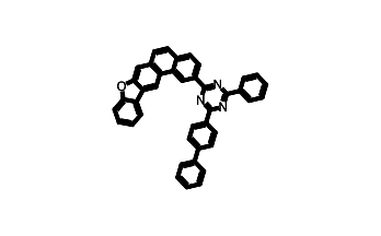 c1ccc(-c2ccc(-c3nc(-c4ccccc4)nc(-c4ccc5ccc6cc7oc8ccccc8c7cc6c5c4)n3)cc2)cc1